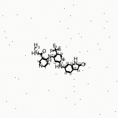 CNC(=O)c1cnccc1Nc1cc(Nc2ccc3c(c2)NC(=O)C3)ncc1C(F)(F)F